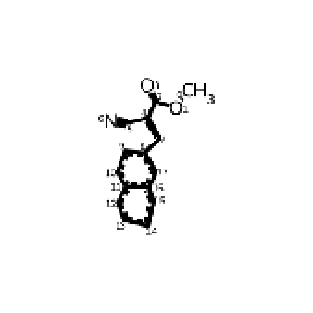 COC(=O)/C(C#N)=C/c1ccc2ccccc2c1